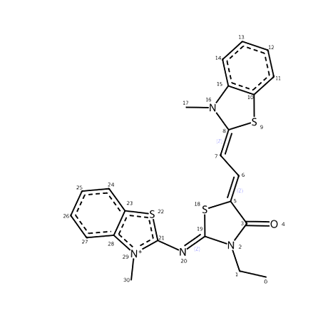 CCN1C(=O)/C(=C/C=C2\Sc3ccccc3N2C)S/C1=N\c1sc2ccccc2[n+]1C